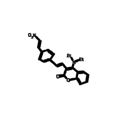 CCN(CC)c1c(C=Cc2ccc(C=C[N+](=O)[O-])cc2)c(=O)oc2ccccc12